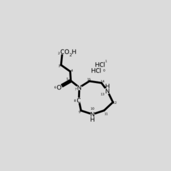 Cl.Cl.O=C(O)CCC(=O)N1CCNCCNCC1